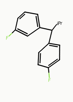 CC(C)C(c1ccc(F)cc1)c1cccc(F)c1